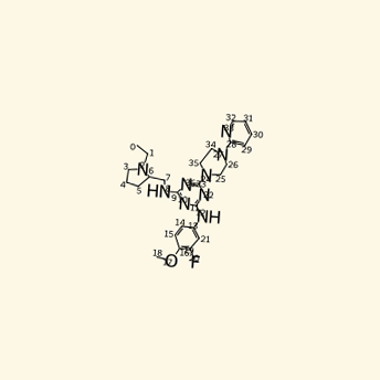 CCN1CCCC1CNc1nc(Nc2ccc(OC)c(F)c2)nc(N2CCN(c3ccccn3)CC2)n1